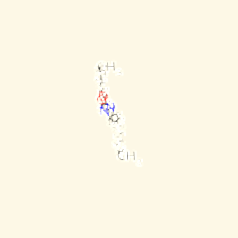 CCCCCCCCCc1ccc(-c2ncc(OOCCCCCCCC)cn2)cc1